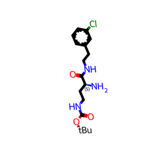 CC(C)(C)OC(=O)NCC[C@H](N)C(=O)NCCc1cccc(Cl)c1